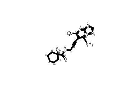 Cc1nc2ncnn2c(N)c1C#CCOC(=O)C1(C)CCCCC1